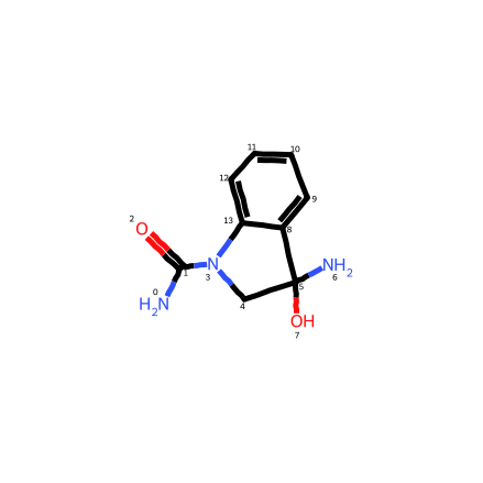 NC(=O)N1CC(N)(O)c2ccccc21